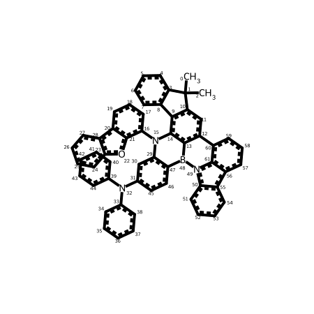 CC1(C)c2ccccc2-c2c1cc1c3c2N(c2cccc4c2oc2ccccc24)c2cc(N(c4ccccc4)c4ccccc4)ccc2B3n2c3ccccc3c3cccc-1c32